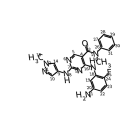 CN(C(=O)c1cnc(Nc2cnn(C)c2)nc1Nc1cc(N)ccc1F)c1ccccc1